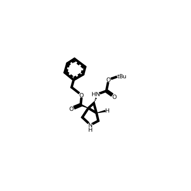 CC(C)(C)OC(=O)N[C@@H]1[C@@H]2CNC[C@]12C(=O)OCc1ccccc1